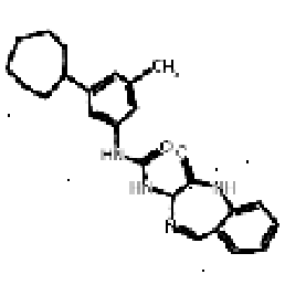 Cc1cc(NC(=O)NC2N=Cc3ccccc3NC2=O)cc(C2CCCCCC2)c1